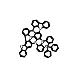 c1ccc([Si]2(c3ccccc3)c3ccccc3N3c4cc5c6c7c4B(c4cccc2c43)c2cc3c4ccccc4oc3c3c4cccc(c4n-7c23)B6c2cccc3c4ccccc4n-5c23)cc1